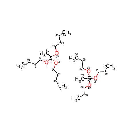 CCCCO[Si](C)(OCCCC)OCCCC.CCCO[Si](C)(OCCC)OCCC